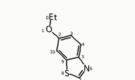 CCOc1ccc2ncsc2c1